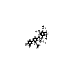 Cc1c2cn[nH]c2c(CN(C)C(=O)c2ccc(-c3ccc(F)c(F)c3)c(OC3CC3)c2)c[n+]1O